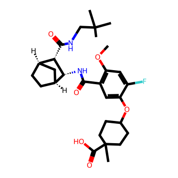 COc1cc(F)c(OC2CCC(C)(C(=O)O)CC2)cc1C(=O)N[C@@H]1[C@H]2CC[C@H](C2)[C@@H]1C(=O)NCC(C)(C)C